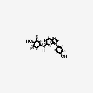 Oc1ccc(-n2cnc3cnc(Nc4cc(F)c(O)c(F)c4)nc32)cc1